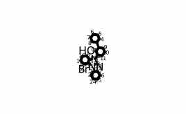 Oc1c(-c2ccccc2)cccc1-n1c2cccc(Br)c2n2c3ccccc3nc12